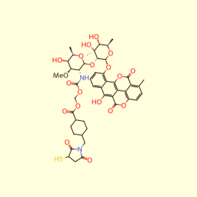 CO[C@H]1[C@@H](O)[C@@H](C)OC(O[C@H]2[C@H](Oc3cccc4c(O)c5c(=O)oc6ccc(C)c7c(=O)oc(c34)c5c67)O[C@H](C)[C@H](O)[C@]2(C)O)[C@@H]1NC(=O)OCOC(=O)C1CCC(CN2C(=O)CC(S)C2=O)CC1